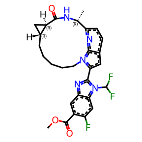 COC(=O)c1cc2nc(-c3cc4ccc5nc4n3CCCCC[C@@H]3C[C@H]3C(=O)N[C@@H]5C)n(C(F)F)c2cc1F